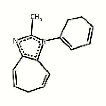 Cc1nc2c(n1C1=CC=CCC1)C=CCC=C2